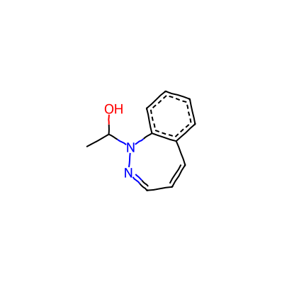 CC(O)N1N=CC=Cc2ccccc21